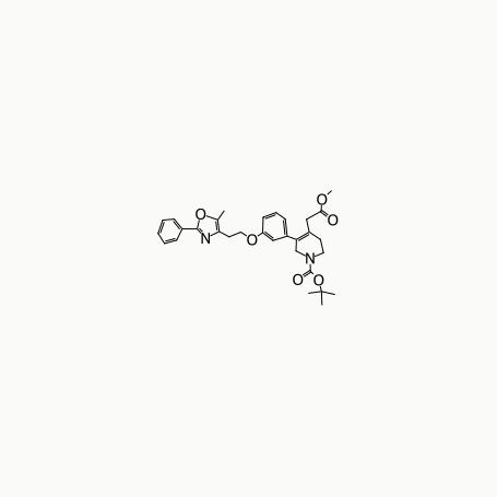 COC(=O)CC1=C(c2cccc(OCCc3nc(-c4ccccc4)oc3C)c2)CN(C(=O)OC(C)(C)C)CC1